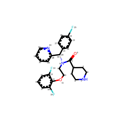 O=C(C1CCNCC1)N(CCOc1c(F)cccc1F)[C@@H](c1ccc(F)cc1)c1ccccn1